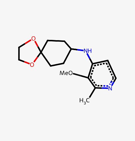 COc1c(NC2CCC3(CC2)OCCO3)ccnc1C